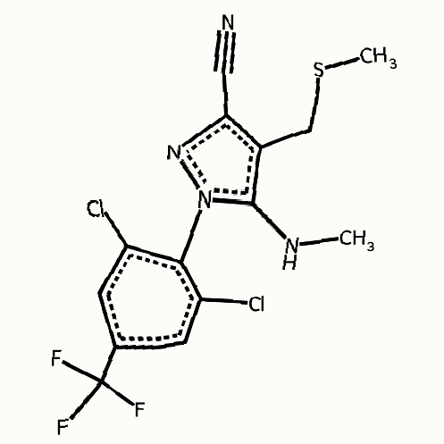 CNc1c(CSC)c(C#N)nn1-c1c(Cl)cc(C(F)(F)F)cc1Cl